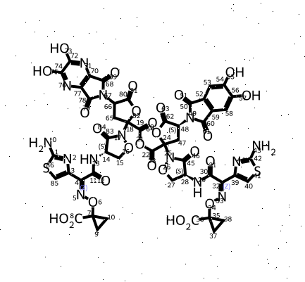 Nc1nc(/C(=N/OC2(C(=O)O)CC2)C(=O)N[C@H]2CON(C3(C(=O)OC(=O)C4(N5OC[C@H](NC(=O)/C(=N\OC6(C(=O)O)CC6)c6csc(N)n6)C5=O)C[C@H](N5C(=O)c6cc(O)c(O)cc6C5=O)C(=O)O4)CC(N4C(=O)c5nc(O)c(O)nc5C4=O)C(=O)O3)C2=O)cs1